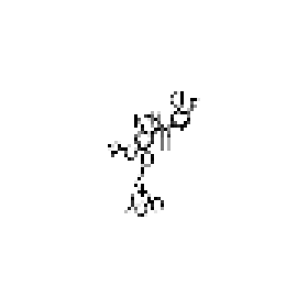 CC1CN(CCCOc2cc3c(Nc4ccc(F)c(Cl)c4)ncnc3cc2OC2CCC2)CC(=O)O1